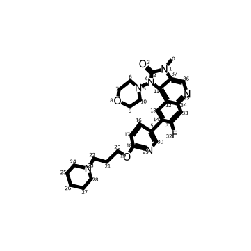 Cn1c(=O)n(N2CCOCC2)c2c3cc(-c4ccc(OCCCN5CCCCC5)nc4)c(F)cc3ncc21